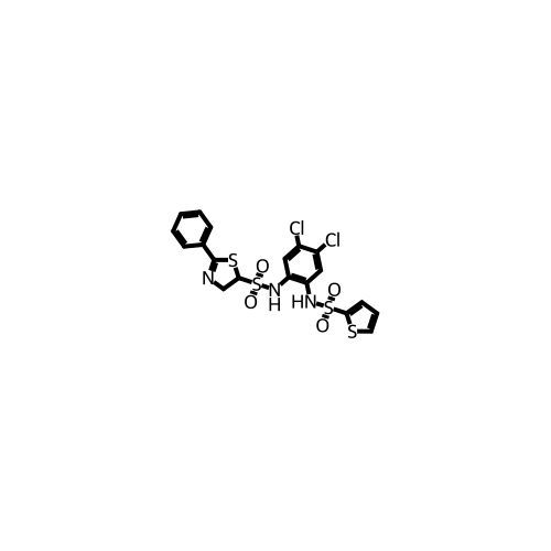 O=S(=O)(Nc1cc(Cl)c(Cl)cc1NS(=O)(=O)C1CN=C(c2ccccc2)S1)c1cccs1